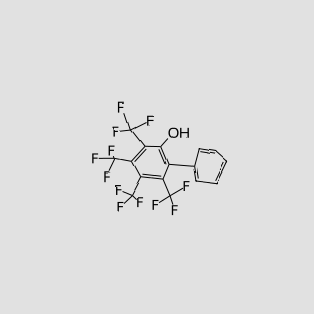 Oc1c(-c2ccccc2)c(C(F)(F)F)c(C(F)(F)F)c(C(F)(F)F)c1C(F)(F)F